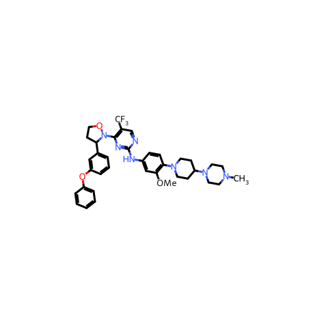 COc1cc(Nc2ncc(C(F)(F)F)c(N3OCCC3c3cccc(Oc4ccccc4)c3)n2)ccc1N1CCC(N2CCN(C)CC2)CC1